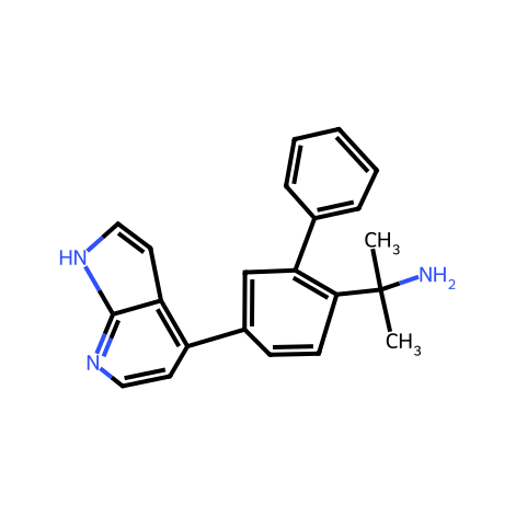 CC(C)(N)c1ccc(-c2ccnc3[nH]ccc23)cc1-c1ccccc1